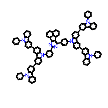 c1ccc(-n2c3ccccc3c3cc(-c4ccc5c(c4)c4cc(-c6ccc7c(c6)c6ccccc6n7-c6ccccc6)ccc4n5-c4ccc(-c5nc(-c6cccc(-n7c8ccc(-c9ccc%10c(c9)c9ccccc9n%10-c9ccccc9)cc8c8cc(-c9ccc%10c(c9)c9ccccc9n%10-c9ccccc9)ccc87)c6)nc6c5-c5cccc7cccc-6c57)cc4)ccc32)cc1